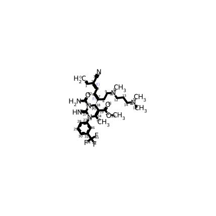 C=C/C(C#N)=C\C=C(/CCN(C)CCCN(C)C)[C@@H]1C(C(=O)OC)=C(C)N(c2cccc(C(F)(F)F)c2)C(=N)N1C(N)=O